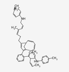 C#C/C=C\C(=C/C)NC/C=C\C(C)=C/CCC1=CC(c2ccccc2C(=C)C(/C=C\C)/C(=C\C)Nc2ccc(C)cc2)=C2C/C=C\C=C/C1C2